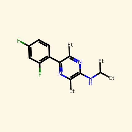 CCc1nc(-c2ccc(F)cc2F)c(CC)nc1NC(CC)CC